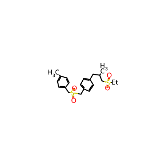 CCS(=O)(=O)CC(C)Cc1ccc(CS(=O)(=O)Cc2ccc(C)cc2)cc1